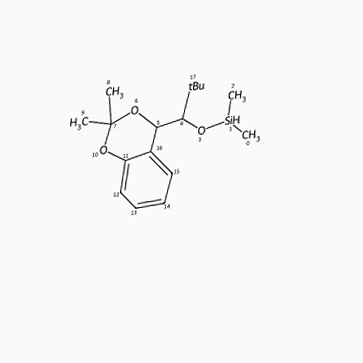 C[SiH](C)OC(C1OC(C)(C)Oc2ccccc21)C(C)(C)C